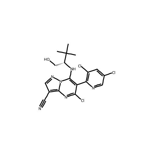 CC(C)(C)[C@@H](CO)Nc1c(-c2ncc(Cl)cc2Cl)c(Cl)nc2c(C#N)cnn12